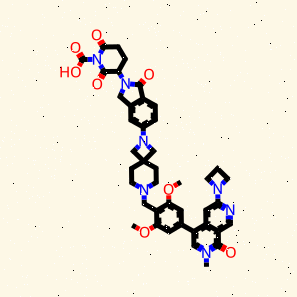 COc1cc(-c2cn(C)c(=O)c3cnc(N4CCC4)cc23)cc(OC)c1CN1CCC2(CC1)CN(c1ccc3c(c1)CN(C1CCC(=O)N(C(=O)O)C1=O)C3=O)C2